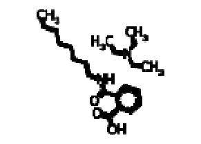 CCCCCCCCNC(=O)c1ccccc1C(=O)O.CCN(CC)CC